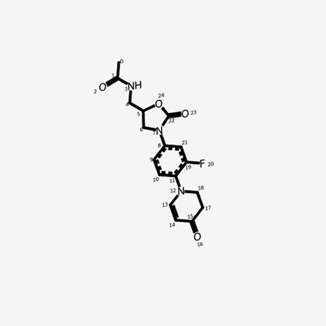 CC(=O)NCC1CN(c2ccc(N3C=CC(=O)CC3)c(F)c2)C(=O)O1